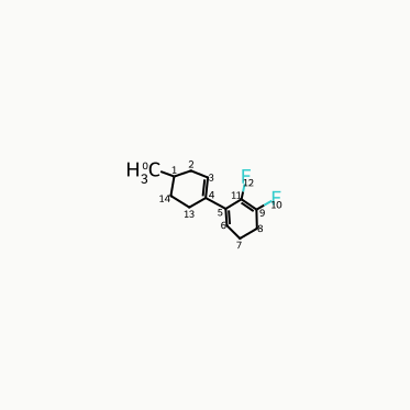 CC1CC=C(C2=CCCC(F)=C2F)CC1